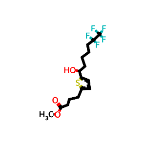 COC(=O)CCCc1ccc(C(O)CCCCC(F)(F)C(F)(F)F)s1